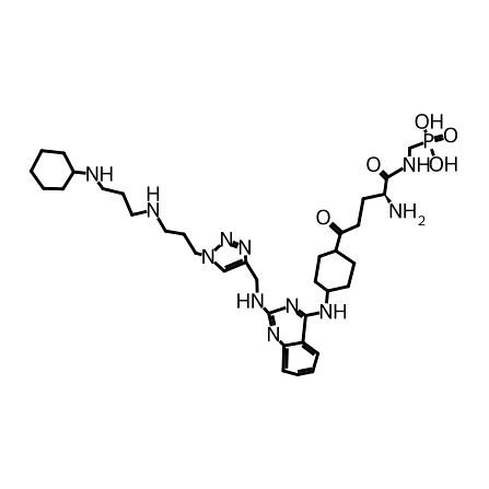 N[C@@H](CCC(=O)C1CCC(Nc2nc(NCc3cn(CCCNCCCNC4CCCCC4)nn3)nc3ccccc23)CC1)C(=O)NCP(=O)(O)O